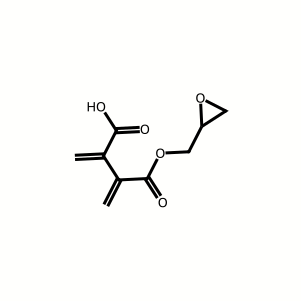 C=C(C(=C)C(=O)OCC1CO1)C(=O)O